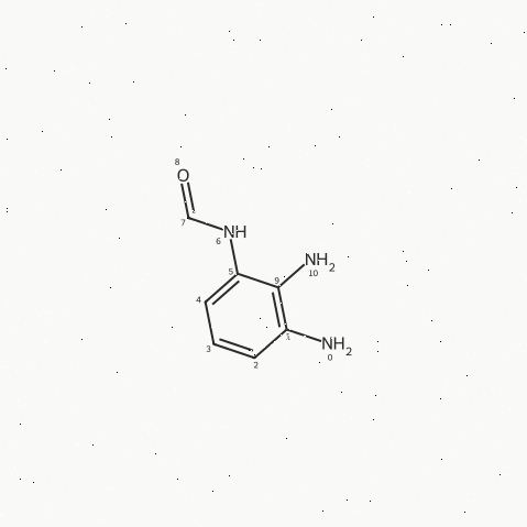 Nc1cccc(NC=O)c1N